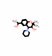 CC(O)c1ccc2c(c1)C(N1CCCCC1)C(O)C(C)(C)O2